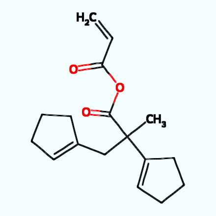 C=CC(=O)OC(=O)C(C)(CC1=CCCC1)C1=CCCC1